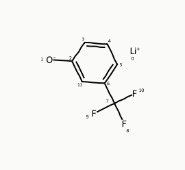 [Li+].[O-]c1cccc(C(F)(F)F)c1